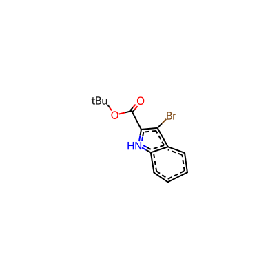 CC(C)(C)OC(=O)c1[nH]c2ccccc2c1Br